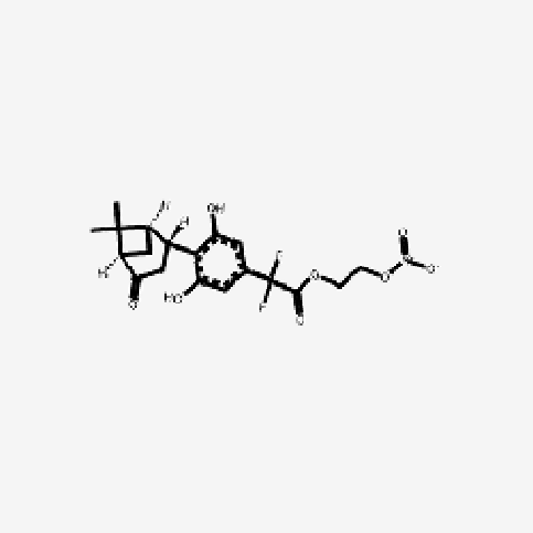 CC1(C)[C@@H]2C[C@H]1C(=O)C[C@H]2c1c(O)cc(C(F)(F)C(=O)OCCO[N+](=O)[O-])cc1O